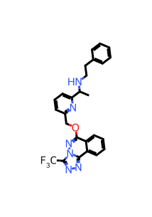 CC(NCCc1ccccc1)c1cccc(COc2nn3c(C(F)(F)F)nnc3c3ccccc23)n1